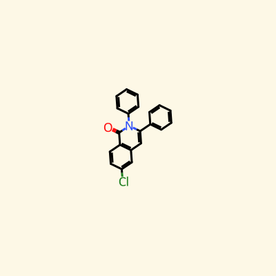 O=c1c2ccc(Cl)cc2cc(-c2ccccc2)n1-c1ccccc1